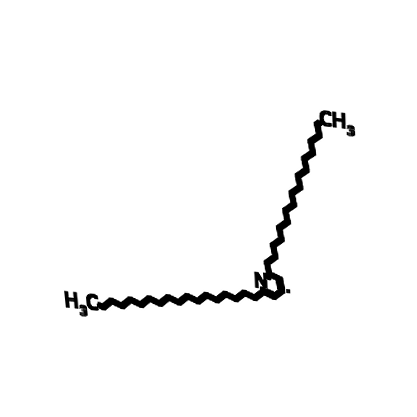 CCCCCCCCCCCCCCCCCCc1c[c]cc(CCCCCCCCCCCCCCCCCC)n1